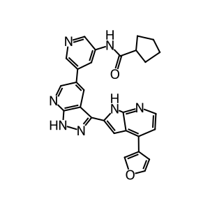 O=C(Nc1cncc(-c2cnc3[nH]nc(-c4cc5c(-c6ccoc6)ccnc5[nH]4)c3c2)c1)C1CCCC1